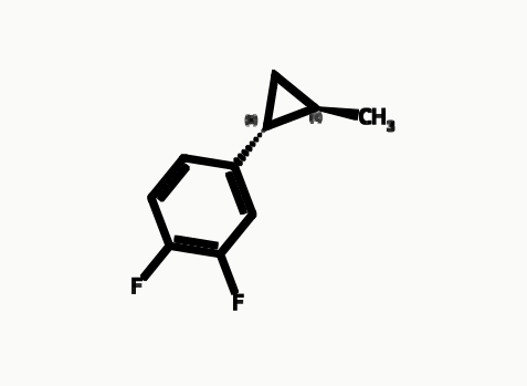 C[C@@H]1C[C@H]1c1ccc(F)c(F)c1